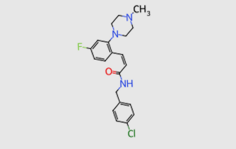 CN1CCN(c2cc(F)ccc2/C=C\C(=O)NCc2ccc(Cl)cc2)CC1